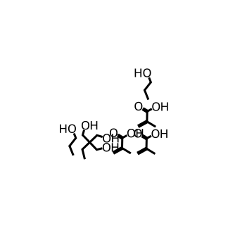 C=C(C)C(=O)O.C=C(C)C(=O)O.C=C(C)C(=O)O.CCC(CO)(CO)CO.CCCO.CCCO